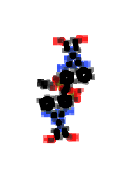 O=S(=O)([O-])c1cc(Nc2nc(Nc3ccccc3)nc(N(CCO)CCO)n2)ccc1C=Cc1ccc(Nc2nc(Nc3ccccc3)nc(N(CCO)CCO)n2)cc1S(=O)(=O)[O-].[Na+].[Na+]